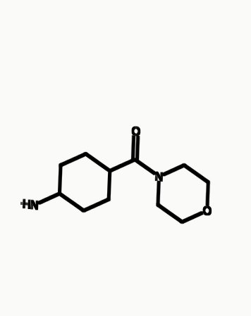 [NH]C1CCC(C(=O)N2CCOCC2)CC1